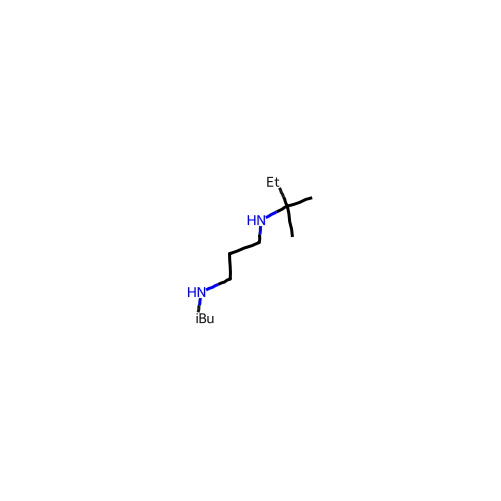 CCC(C)NCCCNC(C)(C)CC